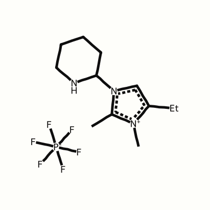 CCc1cn(C2CCCCN2)c(C)[n+]1C.F[P-](F)(F)(F)(F)F